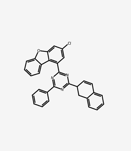 Clc1cc(-c2nc(-c3ccccc3)nc(C3C=Cc4ccccc4C3)n2)c2c(c1)oc1ccccc12